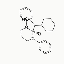 N#CCC(C1CCCCC1)P1(=O)N(c2ccccc2)CCCN1c1ccccc1